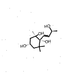 C[C@H](O)/C=C/[C@@]1(O)C(C)(C)C[C@H](O)C[C@@]1(C)O